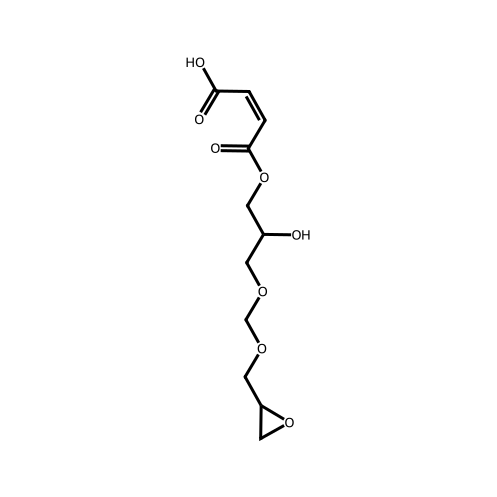 O=C(O)/C=C\C(=O)OCC(O)COCOCC1CO1